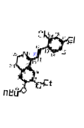 CCCCOc1cc2c(cc1OCC)C(/C=C/c1ccc(Cl)cc1Cl)=NCC2